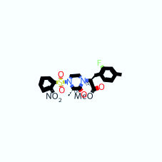 COC(=O)[C@H](Cc1ccc(C)cc1F)N1CCN(S(=O)(=O)c2ccccc2[N+](=O)[O-])[C@@H](C)C1=O